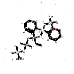 C=C[Si](C=C)(O[Si](C)(C)O[Si](C)(C)CCCC)O[Si](O[Si](C)(C)CCC)(c1ccccc1)c1ccccc1